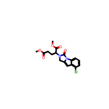 COC(=O)CCC(C(=O)OC)N1Cc2cc3c(Br)cccc3n2C1=O